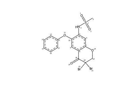 CS(=O)(=O)Nc1cc2c(cc1Oc1ccccc1)C(=O)C(Br)(Br)CO2